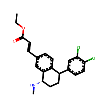 CCOC(=O)C=Cc1ccc2c(c1)[C@@H](NC)CCC2c1ccc(Cl)c(Cl)c1